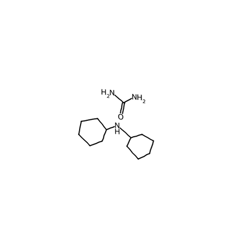 C1CCC(NC2CCCCC2)CC1.NC(N)=O